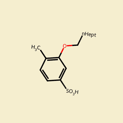 CCCCCCCCOc1cc(S(=O)(=O)O)ccc1C